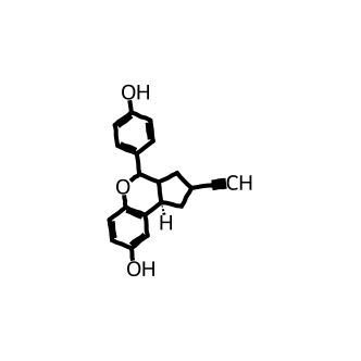 C#CC1CC2C(c3ccc(O)cc3)Oc3ccc(O)cc3[C@@H]2C1